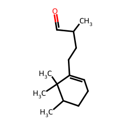 CC(C=O)CCC1=CCCC(C)C1(C)C